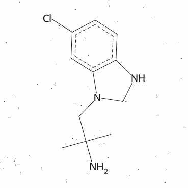 CC(C)(N)CN1[CH]Nc2ccc(Cl)cc21